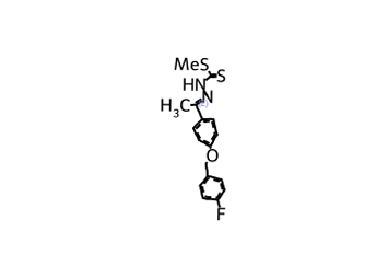 CSC(=S)N/N=C(\C)c1ccc(OCc2ccc(F)cc2)cc1